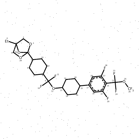 CCC12COC(C3CCC(C(F)(F)OC4CCC(c5cc(F)c(C(F)(F)OC(F)(F)F)c(F)c5)CC4)CC3)(OC1)O2